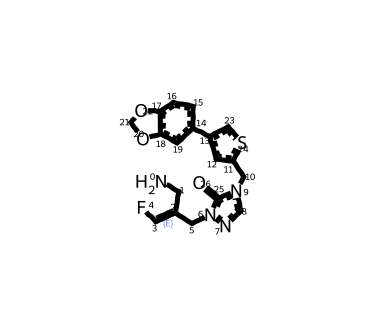 NC/C(=C\F)Cn1ncn(Cc2cc(-c3ccc4c(c3)OCO4)cs2)c1=O